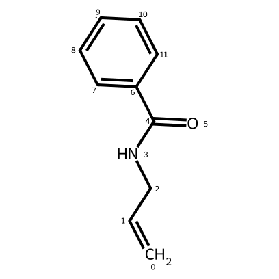 C=CCNC(=O)c1cc[c]cc1